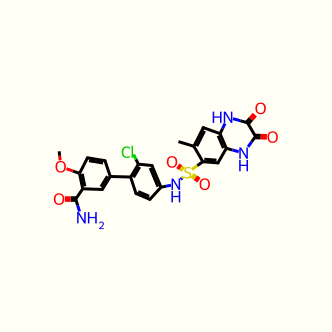 COc1ccc(-c2ccc(NS(=O)(=O)c3cc4[nH]c(=O)c(=O)[nH]c4cc3C)cc2Cl)cc1C(N)=O